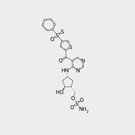 NS(=O)(=O)OC[C@H]1C[C@@H](Nc2ncncc2C(=O)c2cc(S(=O)(=S)c3ccccc3)cs2)C[C@@H]1O